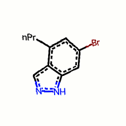 CCCc1cc(Br)cc2[nH]ncc12